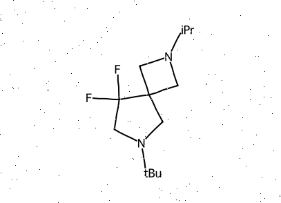 CC(C)N1CC2(C1)CN(C(C)(C)C)CC2(F)F